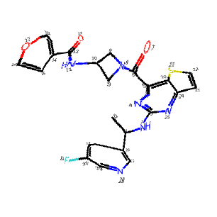 CC(Nc1nc(C(=O)N2CC(NC(=O)c3ccoc3)C2)c2sccc2n1)c1cncc(F)c1